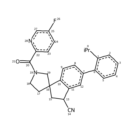 CC(C)c1ccccc1-c1ccc2c(c1)C(C#N)CC21CCN(C(=O)c2ccc(F)cn2)C1